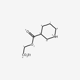 CCOC(=O)COC(=O)C1CCCNC1